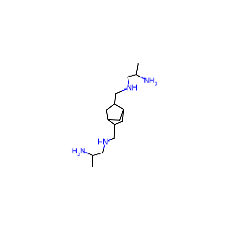 CC(N)CNCC1CC2CC1CC2CNCC(C)N